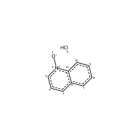 Cl.[O-][n+]1cccc2ccccc21